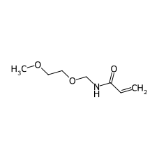 C=CC(=O)NCOCCOC